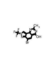 Cc1nc(O)c2cc(Br)c3nn(C(F)(F)F)cc3c2n1